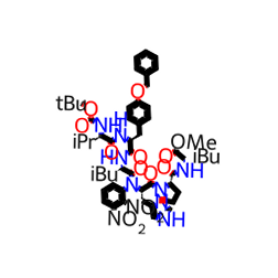 CC[C@H](C)[C@H](NC(=O)[C@@H]1CCCN1C(=O)[C@H](Cc1c[nH]cn1)N(C(=O)[C@@H](NC(=O)[C@H](Cc1ccc(OCc2ccccc2)cc1)NC(=O)[C@@H](NC(=O)OC(C)(C)C)C(C)C)[C@@H](C)CC)c1cccc([N+](=O)[O-])c1[N+](=O)[O-])C(=O)OC